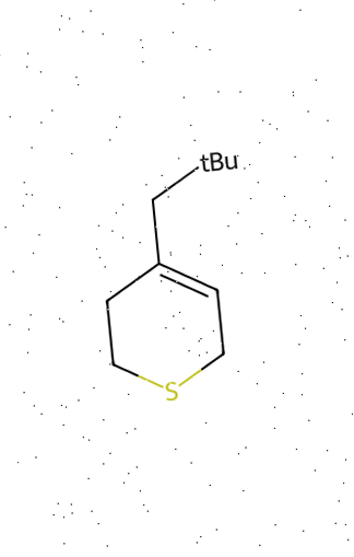 CC(C)(C)CC1=CCSCC1